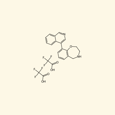 O=C(O)C(F)(F)F.O=C(O)C(F)(F)F.c1cc2c(c(-c3cncc4ccccc34)c1)OCCNC2